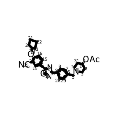 CC(=O)OC1CCN(Cc2ccc(-c3noc(-c4ccc(OC5CCCC5)c(C#N)c4)n3)cc2)CC1